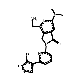 CC(C)c1[nH]ncc1-c1cccc(N2Cc3c(cc(N(C)C)nc3CN)C2=O)n1